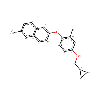 CC(=O)c1ccc2nc(Oc3ccc(OCC4CC4)cc3C)ccc2c1